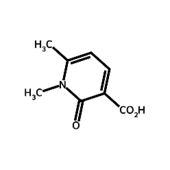 Cc1ccc(C(=O)O)c(=O)n1C